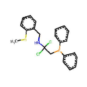 CSc1ccccc1CNC(Cl)(Cl)CP(c1ccccc1)c1ccccc1